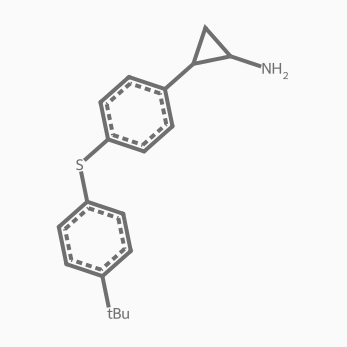 CC(C)(C)c1ccc(Sc2ccc(C3CC3N)cc2)cc1